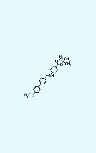 COc1ccc(-c2ccc(CNC3CCN(C(=O)OC(C)(C)C)CC3)cc2)cc1